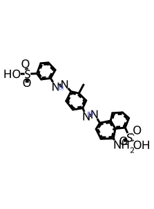 Cc1cc(/N=N/c2ccc(N)c3c(S(=O)(=O)O)cccc23)ccc1/N=N/c1cccc(S(=O)(=O)O)c1